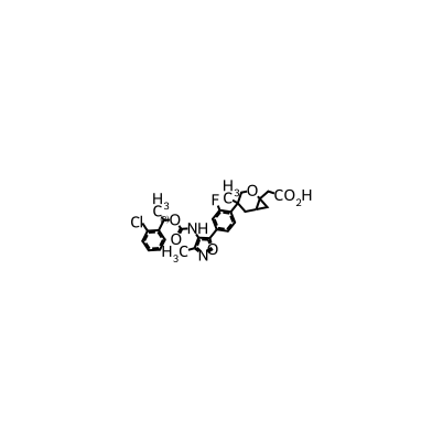 Cc1noc(-c2ccc(C3(C)COC4(CC(=O)O)CC4C3)c(F)c2)c1NC(=O)O[C@H](C)c1ccccc1Cl